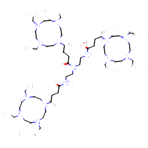 O=CCN1CCN(CC=O)CCN([C@H](C=O)CCC(=O)NCCN(CCNC(=O)CC[C@@H](C(=O)O)N2CCN(CC=O)CCN(CC(=O)O)CCN(CC(=O)O)CC2)C(=O)CC[C@@H](C(=O)O)N2CCN(CC=O)CCN(CC=O)CCN(CC(=O)O)CC2)CCN(CC(=O)O)CC1